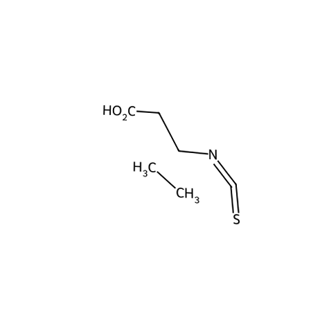 CC.O=C(O)CCN=C=S